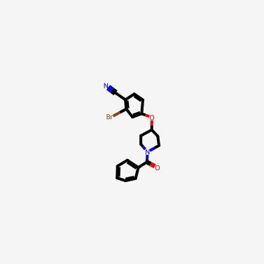 N#Cc1ccc(OC2CCN(C(=O)c3ccccc3)CC2)cc1Br